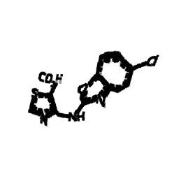 O=C(O)c1scnc1Nc1nc2cc(Cl)ccc2o1